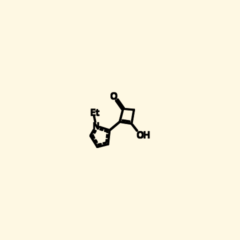 CCn1cccc1C1=C(O)CC1=O